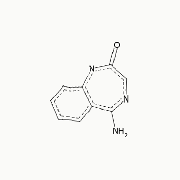 Nc1ncc(=O)nc2ccccc12